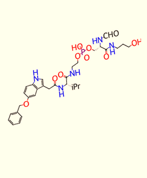 CC(C)[C@H](NC(=O)Cc1c[nH]c2ccc(OCc3ccccc3)cc12)C(=O)NCCOP(=O)(O)OC[C@H](NC=O)C(=O)NCCCO